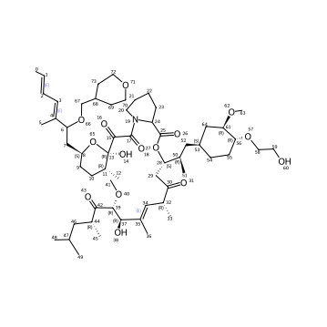 C/C=C/C=C(\C)C(C[C@@H]1CC[C@@H](C)[C@](O)(C(=O)C(=O)N2CCCCC2C(=O)O[C@@H](CC(=O)[C@H](C)/C=C(\C)[C@@H](O)[C@@H](OC)C(=O)[C@H](C)CC(C)C)[C@H](C)C[C@@H]2CC[C@@H](OCCO)[C@H](OC)C2)O1)OCC1CCOCC1